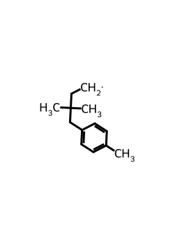 [CH2]CC(C)(C)Cc1ccc(C)cc1